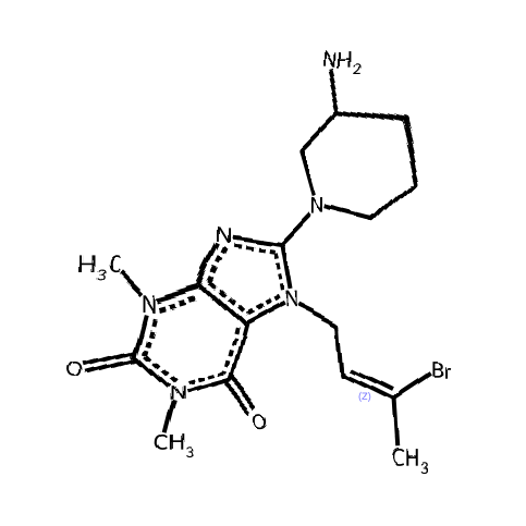 C/C(Br)=C/Cn1c(N2CCCC(N)C2)nc2c1c(=O)n(C)c(=O)n2C